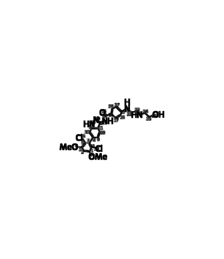 COc1cc(OC)c(Cl)c(-c2ccc3c(NC(=O)c4ccc(NCCNCCO)cc4)n[nH]c3c2)c1Cl